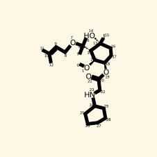 CO[C@H]1[C@H](C(C)(C)OCC=C(C)C)[C@@](O)(I)CC[C@H]1OC(=O)CNC1CCCCC1